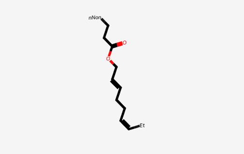 CC/C=C\CC/C=C/COC(=O)CCCCCCCCCCC